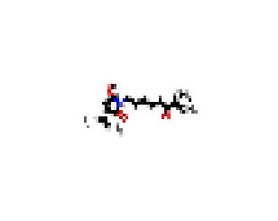 CC(C)C(=O)CCCCCN1C(=O)C[C@@H](C(C)C)C1=O